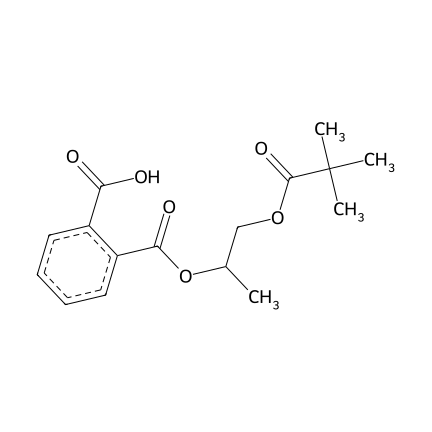 CC(COC(=O)C(C)(C)C)OC(=O)c1ccccc1C(=O)O